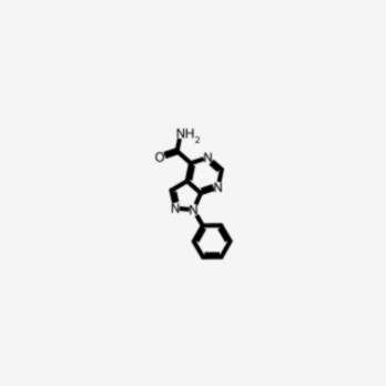 NC(=O)c1ncnc2c1cnn2-c1ccccc1